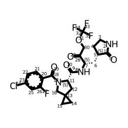 O=C1NCC[C@H]1C[C@H](NC(=O)[C@@H]1CC2(CC2)CN1C(=O)c1ccc(Cl)cc1F)C(=O)COC(F)(F)F